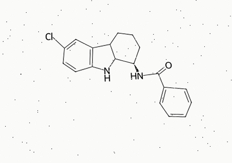 O=C(N[C@@H]1CCCC2c3cc(Cl)ccc3NC21)c1ccccc1